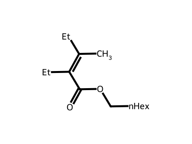 CCCCCCCOC(=O)C(CC)=C(C)CC